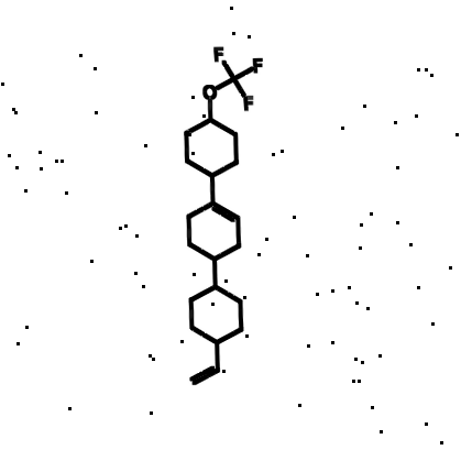 C=CC1CCC(C2CC=C(C3CCC(OC(F)(F)F)CC3)CC2)CC1